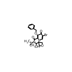 CN(C)N1C(=O)c2c(OCc3ccccc3)c(=O)c(Br)cn2C2(COC2)C1O